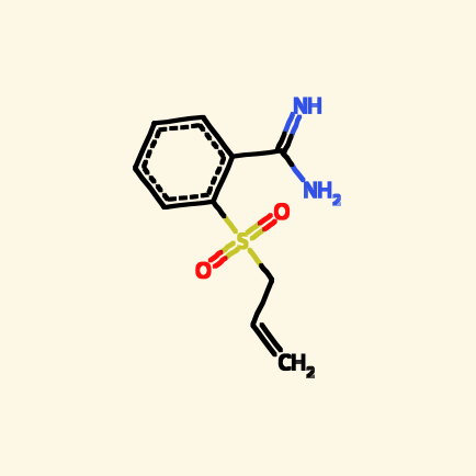 C=CCS(=O)(=O)c1ccccc1C(=N)N